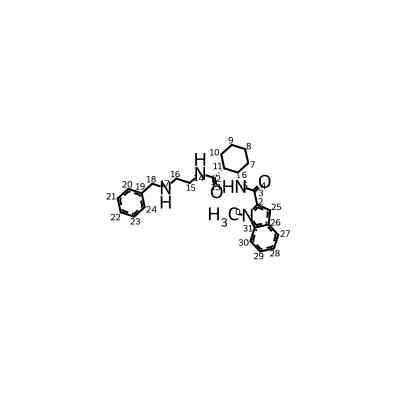 Cn1c(C(=O)N[C@H]2CCCC[C@H]2C(=O)NCCNCc2ccccc2)cc2ccccc21